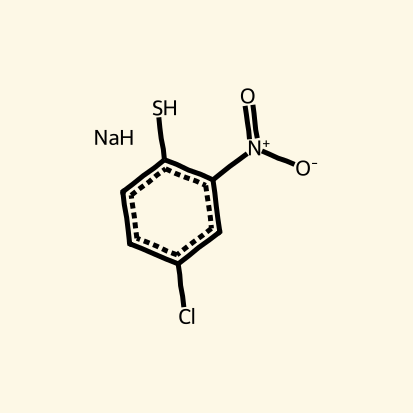 O=[N+]([O-])c1cc(Cl)ccc1S.[NaH]